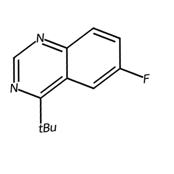 CC(C)(C)c1ncnc2ccc(F)cc12